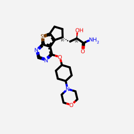 NC(=O)[C@H](O)C[C@H]1CCc2sc3ncnc(OC4CCC(N5CCOCC5)CC4)c3c21